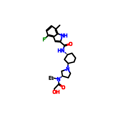 CCN(C(=O)CO)[C@H]1CCN([C@@H]2CCC[C@@H](NC(=O)c3cc4c(F)ccc(C)c4[nH]3)C2)C1